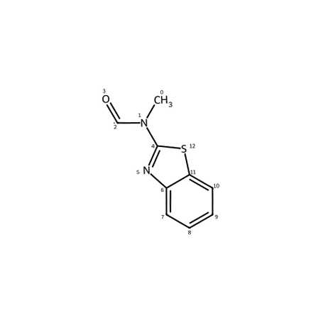 CN([C]=O)c1nc2ccccc2s1